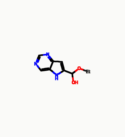 CCOC(O)c1cc2ncncc2[nH]1